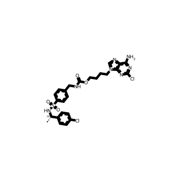 C[C@H](NS(=O)(=O)c1ccc(CNC(=O)OCCCCn2cnc3c(N)nc(Cl)nc32)cc1)c1ccc(Cl)cc1